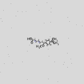 COC(C/C=C/C=C/C(=O)O)c1ccc(N(C)C)cc1